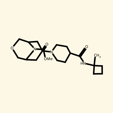 COC(=O)N1C2COCC1CC(N1CCC(C(=O)NC3(C)CCC3)CC1)C2